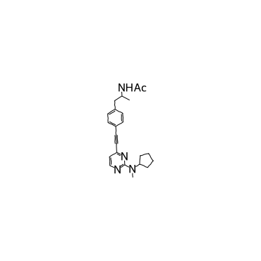 CC(=O)NC(C)Cc1ccc(C#Cc2ccnc(N(C)C3CCCC3)n2)cc1